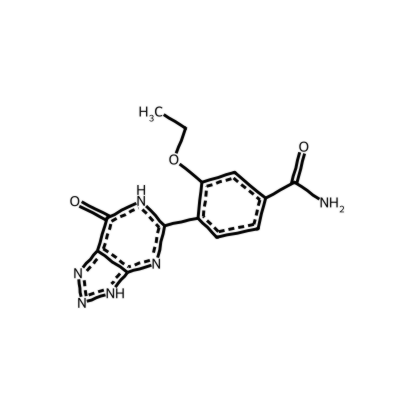 CCOc1cc(C(N)=O)ccc1-c1nc2[nH]nnc2c(=O)[nH]1